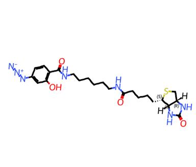 [N-]=[N+]=Nc1ccc(C(=O)NCCCCCCNC(=O)CCCC[C@@H]2SC[C@@H]3NC(=O)N[C@@H]32)c(O)c1